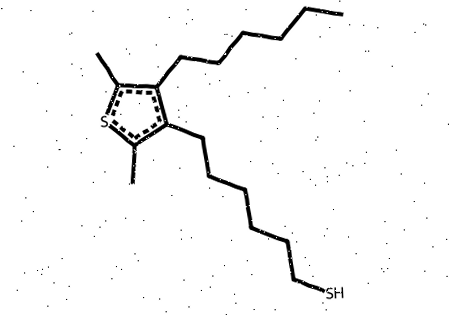 CCCCCCc1c(C)sc(C)c1CCCCCCS